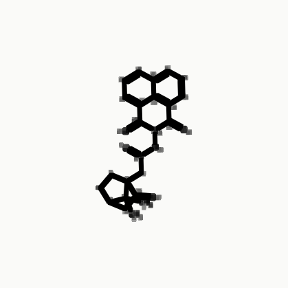 CC1(C)C2CCC1(CS(=O)ON1C(=O)c3cccc4cccc(c34)C1=O)C(=O)C2